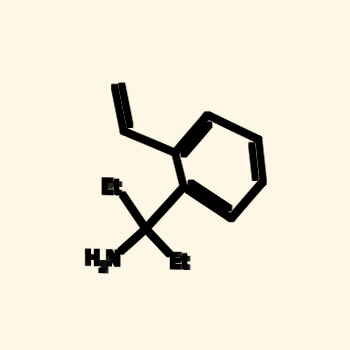 C=Cc1ccccc1C(N)(CC)CC